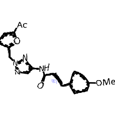 COc1ccc(/C=C/C(=O)Nc2cnn(Cc3ccc(C(C)=O)o3)n2)cc1